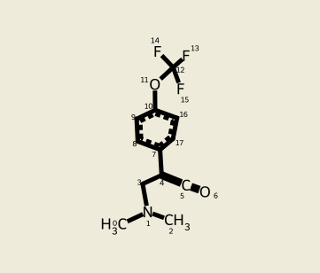 CN(C)CC(=C=O)c1ccc(OC(F)(F)F)cc1